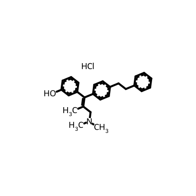 C/C(CN(C)C)=C(/c1ccc(CCc2ccccc2)cc1)c1cccc(O)c1.Cl